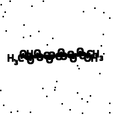 CC(O)COC(=O)CCC(=O)OCCOC(=O)OCCOC(=O)OCCOC(=O)CCC(=O)OCC(C)O